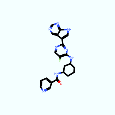 O=C(NC1CCCC(Nc2nc(-c3c[nH]c4ncncc34)ncc2F)C1)c1cccnc1